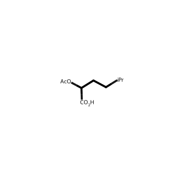 CC(=O)OC(CCC(C)C)C(=O)O